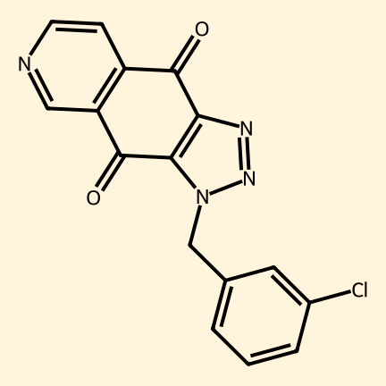 O=C1c2ccncc2C(=O)c2c1nnn2Cc1cccc(Cl)c1